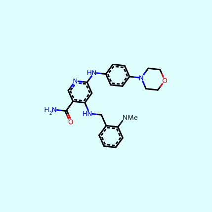 CNc1ccccc1CNc1cc(Nc2ccc(N3CCOCC3)cc2)ncc1C(N)=O